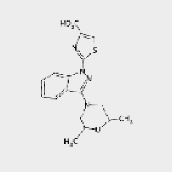 CC1CN(c2nn(-c3nc(C(=O)O)cs3)c3ccccc23)CC(C)O1